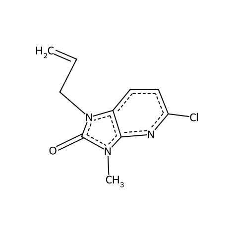 C=CCn1c(=O)n(C)c2nc(Cl)ccc21